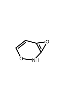 c1cc2oc=2[nH]o1